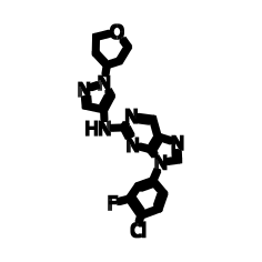 Fc1cc(-n2cnc3cnc(Nc4cnn(C5CCOCC5)c4)nc32)ccc1Cl